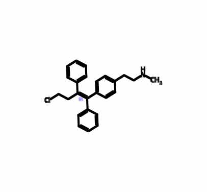 CNCCc1ccc(/C(=C(/CCCl)c2ccccc2)c2ccccc2)cc1